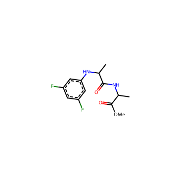 COC(=O)C(C)NC(=O)C(C)Nc1cc(F)cc(F)c1